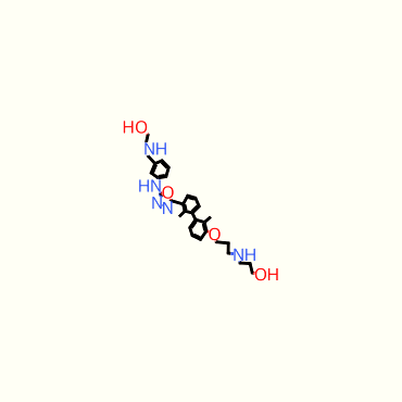 Cc1c(OCCCNCCCO)cccc1-c1cccc(-c2nnc(Nc3cccc(CNCCO)c3)o2)c1C